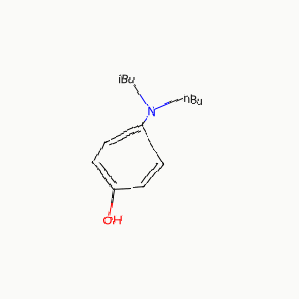 CCCCN(c1ccc(O)cc1)C(C)CC